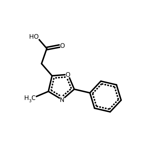 Cc1nc(-c2ccccc2)oc1CC(=O)O